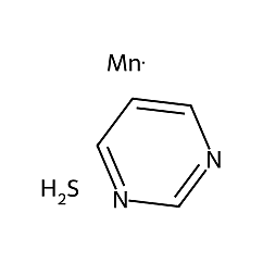 S.[Mn].c1cncnc1